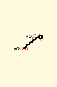 CCCCCCCCC1OC1CCCCCCC(C(=O)O)C1CCC2OC21